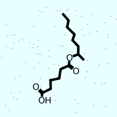 CCCCCCC(C)OC(=O)CCCCC(=O)O